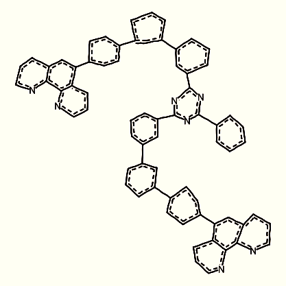 c1ccc(-c2nc(-c3cccc(-c4cccc(-c5ccc(-c6cc7cccnc7c7ncccc67)cc5)c4)c3)nc(-c3cccc(-c4cccc(-c5ccc(-c6cc7cccnc7c7ncccc67)cc5)c4)c3)n2)cc1